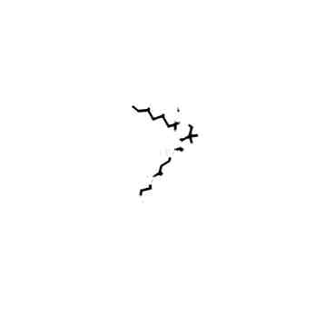 CCC(O)CC(O)CC1(OC)OCC(C)(C)[C@H](C(=O)NCCC(=O)NCCS)O1